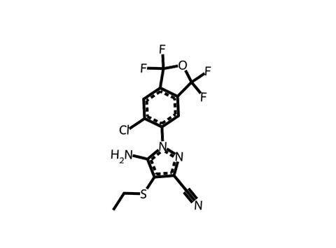 CCSc1c(C#N)nn(-c2cc3c(cc2Cl)C(F)(F)OC3(F)F)c1N